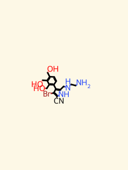 N#Cc1[nH]c(CNCCN)c(-c2ccc(CO)c(CO)c2CO)c1Br